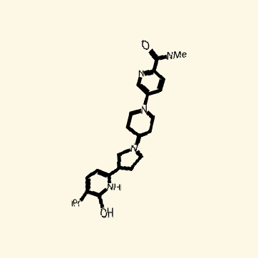 CNC(=O)c1ccc(N2CCC(N3CCC(C4=CC=C(C(C)C)C(O)N4)C3)CC2)cn1